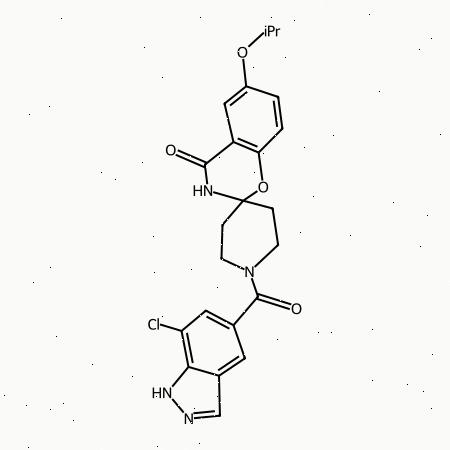 CC(C)Oc1ccc2c(c1)C(=O)NC1(CCN(C(=O)c3cc(Cl)c4[nH]ncc4c3)CC1)O2